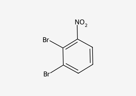 O=[N+]([O-])c1cccc(Br)c1Br